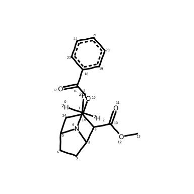 [2H]C([2H])([2H])N1C2CCC1C(C(=O)OC)C(OC(=O)c1ccccc1)C2